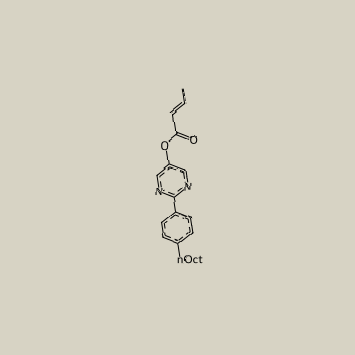 C/C=C/C(=O)Oc1cnc(-c2ccc(CCCCCCCC)cc2)nc1